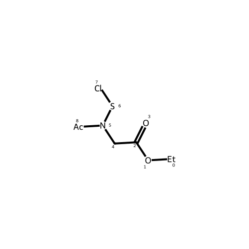 CCOC(=O)CN(SCl)C(C)=O